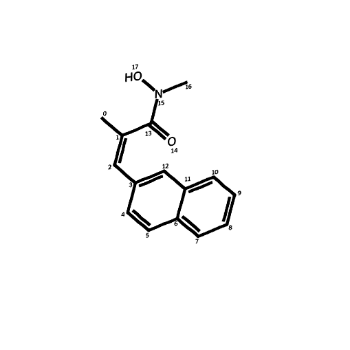 CC(=Cc1ccc2ccccc2c1)C(=O)N(C)O